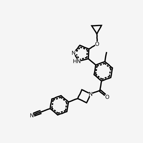 Cc1ccc(C(=O)N2CC(c3ccc(C#N)cc3)C2)cc1-c1[nH]ncc1OC1CC1